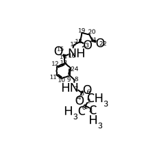 CC(C)(C)OC(=O)NCc1cccc(C(=O)NCC2CCC(=O)O2)c1